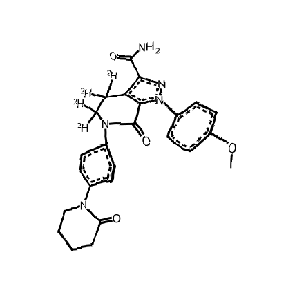 [2H]C1([2H])c2c(C(N)=O)nn(-c3ccc(OC)cc3)c2C(=O)N(c2ccc(N3CCCCC3=O)cc2)C1([2H])[2H]